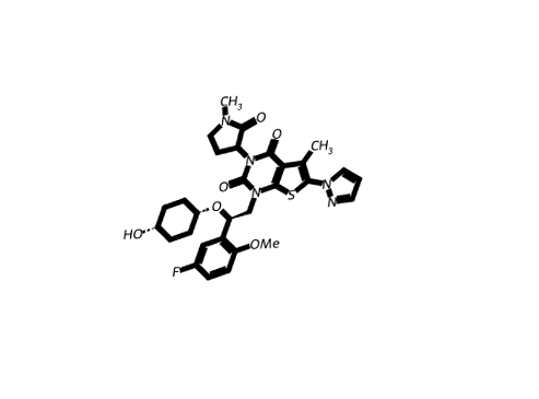 COc1ccc(F)cc1[C@H](Cn1c(=O)n(C2CCN(C)C2=O)c(=O)c2c(C)c(-n3cccn3)sc21)O[C@H]1CC[C@@H](O)CC1